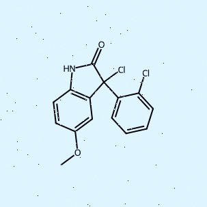 COc1ccc2c(c1)C(Cl)(c1ccccc1Cl)C(=O)N2